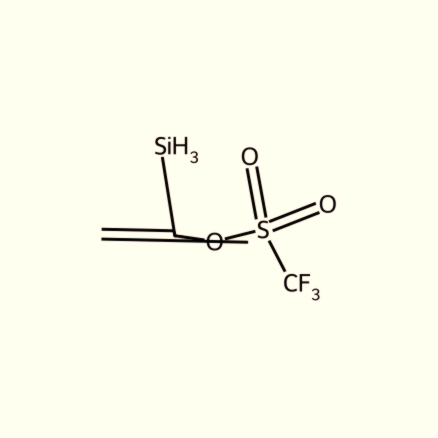 C=C([SiH3])OS(=O)(=O)C(F)(F)F